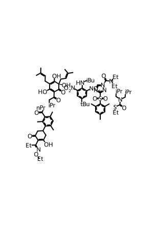 CC(C)=CCC1=C(O)[C@](O)(CC=C(C)C)C(=O)C(C(=O)CC(C)C)=C1O.CCC(C)Nc1c([N+](=O)[O-])cc(C(C)(C)C)cc1[N+](=O)[O-].CCCC(=O)c1c(C)cc(C)c(C2CC(=O)C(/C(CC)=N/OCC)=C(O)C2)c1C.CCN(CC)C(=O)n1cnc(S(=O)(=O)c2c(C)cc(C)cc2C)n1.CCSC(=O)N(CC(C)C)CC(C)C